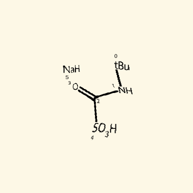 CC(C)(C)NC(=O)S(=O)(=O)O.[NaH]